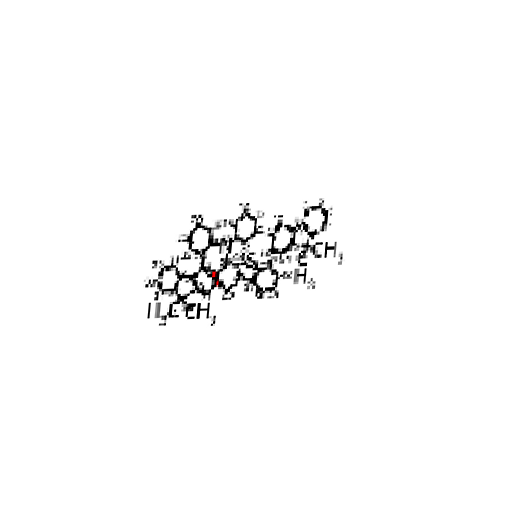 CC1(C)c2ccccc2-c2cc(-c3cccc(N(c4ccccc4-c4cccc5c4-c4ccccc4C5(C)C)c4cccc5c4sc4ccccc45)c3)ccc21